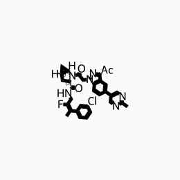 CC(=O)c1nn(CC(=O)N2[C@@H]3C[C@@H]3C[C@H]2C(=O)NCC(F)=C(C)c2cccc(Cl)c2)c2ccc(-c3cnc(C)nc3)cc12